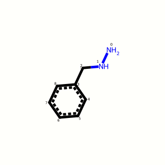 NN[CH]c1ccccc1